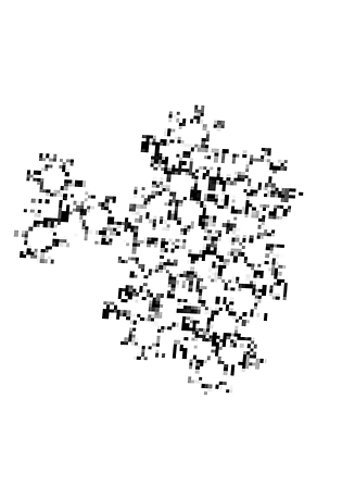 CC(C)c1cccc(C(C)C)c1-n1c(=O)c2cc(Cl)c3c4c(Cl)cc5c(=O)n(-c6c(C(C)C)cccc6C(C)C)c(=O)c6c5c4c4c5c(cc(c1=O)c2c35)c1c2c(=O)n(-c3c(C(C)C)cccc3C(C)C)c(=O)c3cc5c7c(c32)c2c3c(cc8c(=O)n(-c9c(C(C)C)cccc9C(C)C)c(=O)c9cc(c7c3c89)n5-c3ccc(N(c5ccccc5)c5ccccc5)cc3)c6c4c12